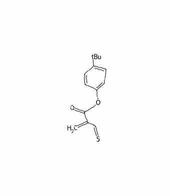 C=C(C=S)C(=O)Oc1ccc(C(C)(C)C)cc1